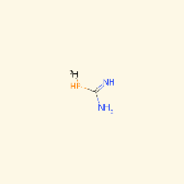 [3H]PC(=N)N